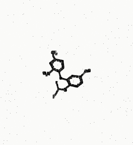 O=Cc1ccc(OC(F)F)c(Oc2ccc(C(F)(F)F)cc2[N+](=O)[O-])c1